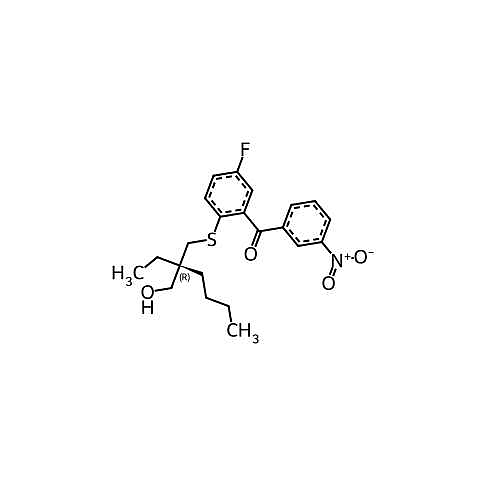 CCCC[C@](CC)(CO)CSc1ccc(F)cc1C(=O)c1cccc([N+](=O)[O-])c1